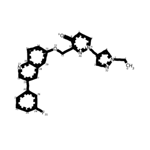 CCn1cc(-n2ccc(=O)c(COc3ccc4ncc(-c5cccc(F)c5)cc4c3)n2)cn1